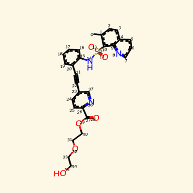 Cc1ccc2cccnc2c1S(=O)(=O)Nc1ccccc1C#Cc1ccc(C(=O)OCCOCCO)nc1